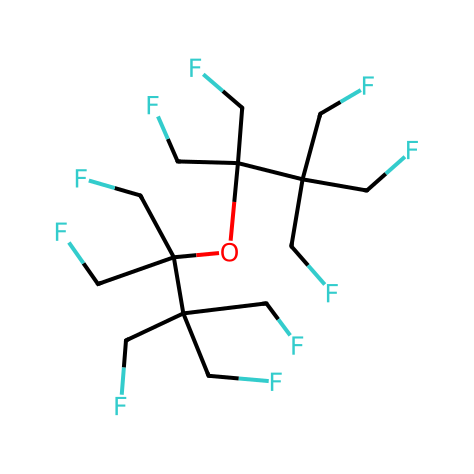 FCC(CF)(CF)C(CF)(CF)OC(CF)(CF)C(CF)(CF)CF